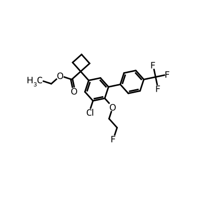 CCOC(=O)C1(c2cc(Cl)c(OCCF)c(-c3ccc(C(F)(F)F)cc3)c2)CCC1